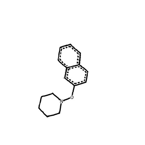 [c]1c(ON2CCCCC2)ccc2ccccc12